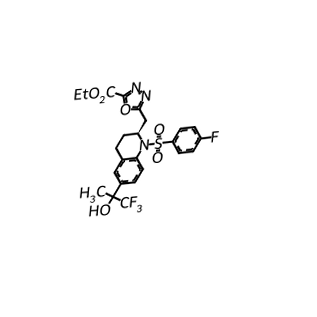 CCOC(=O)c1nnc(C[C@@H]2CCc3cc(C(C)(O)C(F)(F)F)ccc3N2S(=O)(=O)c2ccc(F)cc2)o1